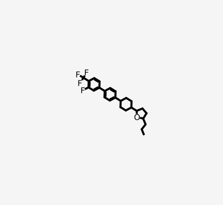 CCCC1CCC(C2CCC(c3ccc(-c4ccc(C(F)(F)F)c(F)c4)cc3)CC2)O1